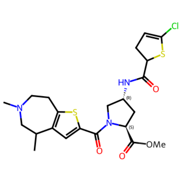 COC(=O)[C@@H]1C[C@@H](NC(=O)C2CC=C(Cl)S2)CN1C(=O)c1cc2c(s1)CCN(C)CC2C